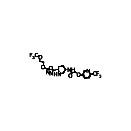 O=C(COc1ccc(C(F)(F)F)nc1)N[C@H]1CC[C@H](c2nnc(OCCOC(F)(F)F)o2)NC1